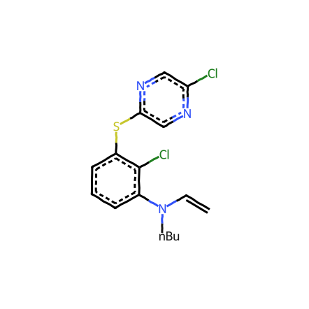 C=CN(CCCC)c1cccc(Sc2cnc(Cl)cn2)c1Cl